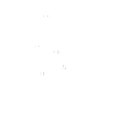 C=C1C(c2cccc3oc4cc(-c5cccc6oc7ccccc7c56)ccc4c23)=C(C)C(c2ccccc2)=NC1c1ccc2c3ccccc3c3ccccc3c2c1